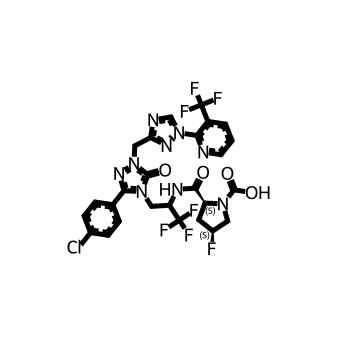 O=C(NC(Cn1c(-c2ccc(Cl)cc2)nn(Cc2ncn(-c3ncccc3C(F)(F)F)n2)c1=O)C(F)(F)F)[C@@H]1C[C@H](F)CN1C(=O)O